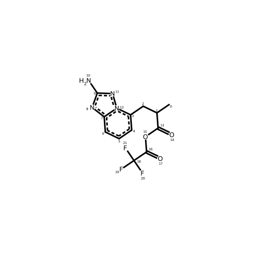 CC(Cc1cccc2nc(N)nn12)C(=O)OC(=O)C(F)(F)F